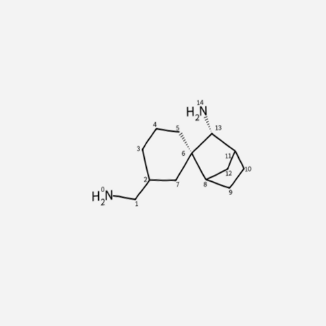 NCC1CCC[C@@]2(C1)C1CCC(C1)[C@H]2N